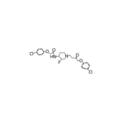 O=C(CCN1CCC(NC(=O)COc2ccc(Cl)cc2)C(F)C1)COc1ccc(Cl)cc1